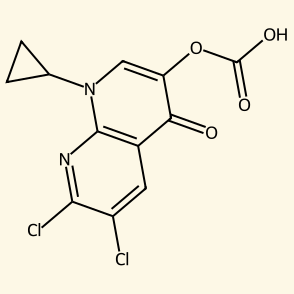 O=C(O)Oc1cn(C2CC2)c2nc(Cl)c(Cl)cc2c1=O